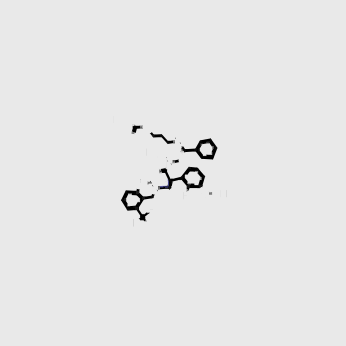 COc1cccc(/C(C(=O)N(C)C[C@H](NCCCOC(C)=O)c2ccccc2)=C(\C)N(C=O)Cc2c(F)cccc2C(F)(F)F)c1F